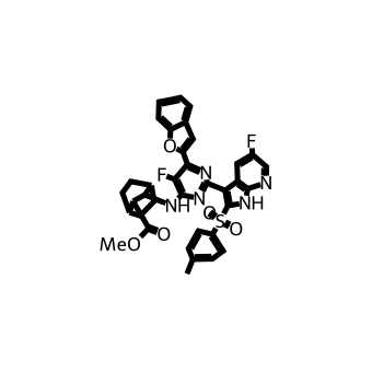 COC(=O)C1C2CCC(CC2)C1Nc1nc(-c2c(S(=O)(=O)c3ccc(C)cc3)[nH]c3ncc(F)cc23)nc(-c2cc3ccccc3o2)c1F